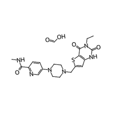 CCn1c(=O)[nH]c2cc(CN3CCN(c4ccc(C(=O)NC)nc4)CC3)sc2c1=O.O=CO